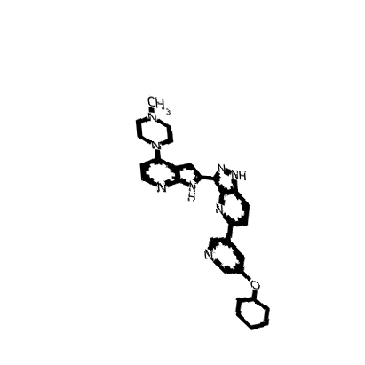 CN1CCN(c2ccnc3[nH]c(-c4n[nH]c5ccc(-c6cncc(OC7CCCCC7)c6)nc45)cc23)CC1